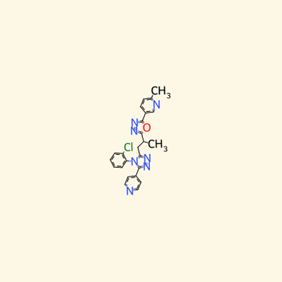 Cc1ccc(-c2nnc(C(C)Cc3nnc(-c4ccncc4)n3-c3ccccc3Cl)o2)cn1